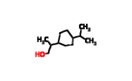 CC(C)C1CCC(C(C)CO)CC1